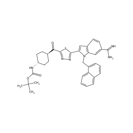 CC(C)(C)OC(=O)N[C@H]1CC[C@H](C(=O)c2nnc(-c3cc4ccc(C(=N)N)cc4n3Cc3cccc4ccccc34)s2)CC1